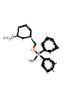 CCOC(=O)[C@H]1CCC[C@@H](CO[Si](c2ccccc2)(c2ccccc2)C(C)(C)C)C1